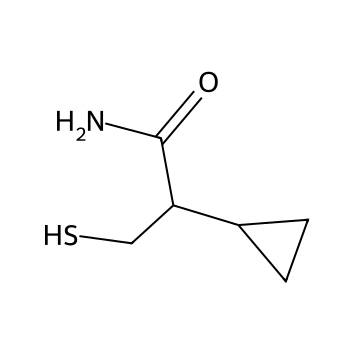 NC(=O)C(CS)C1CC1